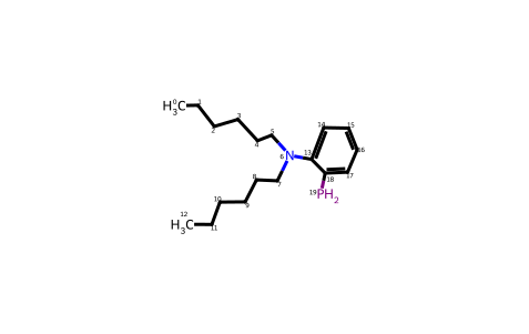 CCCCCCN(CCCCCC)c1ccccc1P